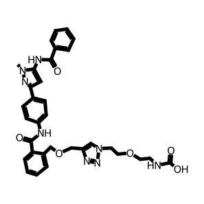 Cn1nc(-c2ccc(NC(=O)c3ccccc3COCc3cn(CCOCCNC(=O)O)nn3)cc2)cc1NC(=O)c1ccccc1